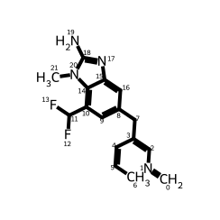 C=N/C=C(\C=C/C)Cc1cc(C(F)F)c2c(c1)nc(N)n2C